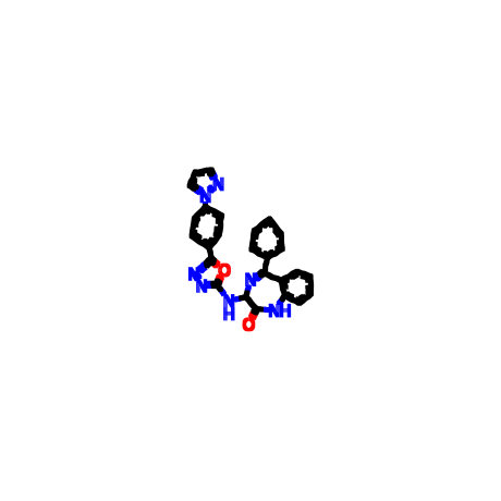 O=C1Nc2ccccc2C(c2ccccc2)=NC1Nc1nnc(-c2ccc(-n3cccn3)cc2)o1